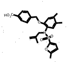 C=C(C)CN(c1cc(C)c(C)cc1OCc1ccc(C(=O)O)cc1)S(=O)(=O)c1ccc(C)o1